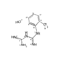 Cl.N=C(N)NC(=N)Nc1ccccc1C(F)(F)F